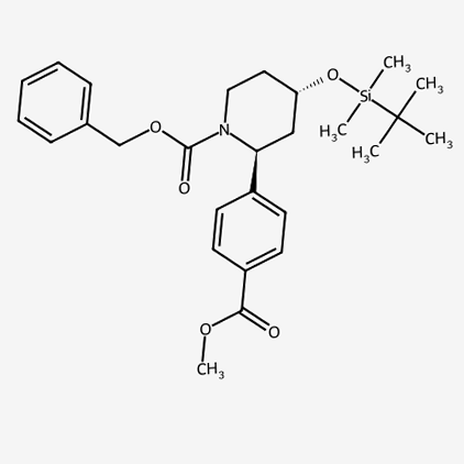 COC(=O)c1ccc([C@@H]2C[C@@H](O[Si](C)(C)C(C)(C)C)CCN2C(=O)OCc2ccccc2)cc1